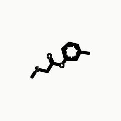 CSCC(=O)Oc1cccc(C)c1